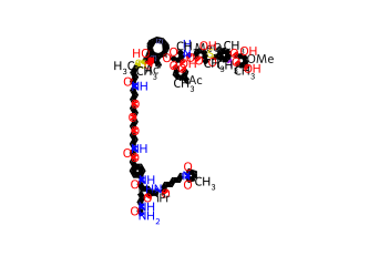 COc1c(C)c(OC2OC(C)C(O)C(OC)C2O)c(I)c(C)c1C(=O)SC1C(O)CC(ONC2C(C)OC(O[C@H]3C#C/C=C\C#C[C@]4(O)CC(=O)C(CC(C)=O)=C3/C4=C/CSSC(C)(C)CCC(=O)NCCCOCCOCCOCCCNC(=O)OCc3ccc(NC(=O)[C@H](CCCNC(N)=O)CC(=O)[C@@H](NC(=O)CCCCCN4C(=O)CC(C)C4=O)C(C)C)cc3)C(OC3CC(C)C(CC(C)=O)CO3)C2O)OC1C